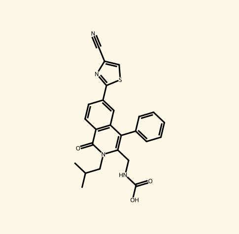 CC(C)Cn1c(CNC(=O)O)c(-c2ccccc2)c2cc(-c3nc(C#N)cs3)ccc2c1=O